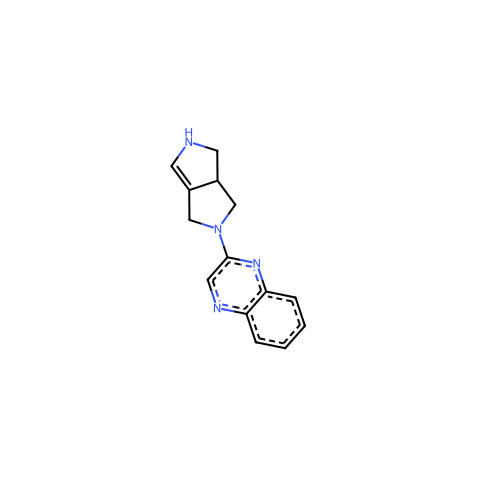 C1=C2CN(c3cnc4ccccc4n3)CC2CN1